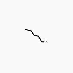 CCCCC[19F]